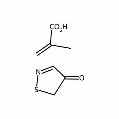 C=C(C)C(=O)O.O=C1C=NSC1